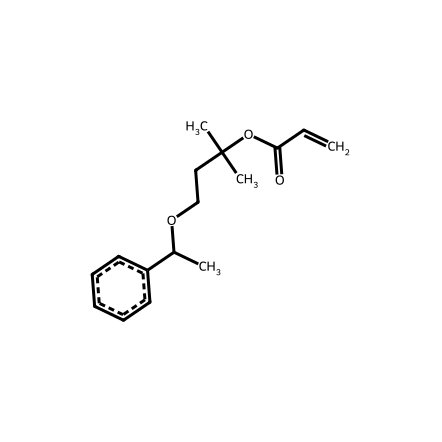 C=CC(=O)OC(C)(C)CCOC(C)c1ccccc1